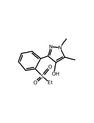 CCS(=O)(=O)c1ccccc1-c1nn(C)c(C)c1O